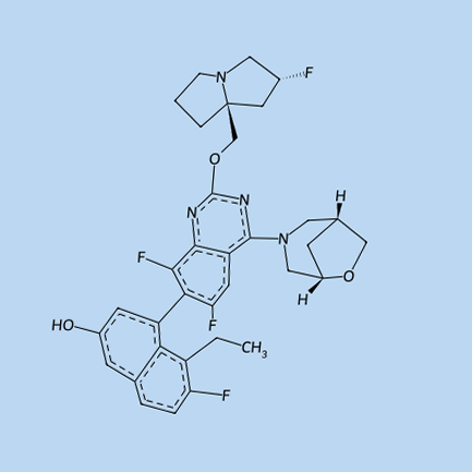 CCc1c(F)ccc2cc(O)cc(-c3c(F)cc4c(N5C[C@@H]6CO[C@@H](C6)C5)nc(OC[C@@]56CCCN5C[C@H](F)C6)nc4c3F)c12